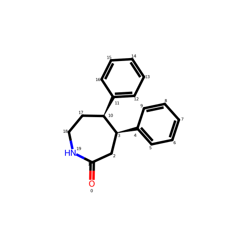 O=C1C[C@H](c2ccccc2)[C@H](c2ccccc2)CCN1